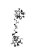 C(CSCCC[Si]12OCCN(CCO1)CCO2)C[Si]12OCCN(CCO1)CCO2